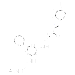 CC(=O)NCCNc1nc(-c2ccccc2)nc(NCCNC(=O)/C=C/c2ccc(F)c(F)c2F)c1C